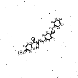 Cc1cc(/C=N/NC(=O)c2ccc(C(C)(C)C)cc2)ccc1OCc1ccccc1